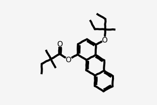 CCC(C)(CC)Oc1ccc(OC(=O)C(C)(C)CC)c2cc3ccccc3cc12